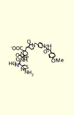 COc1ccc(NC(=O)C[n+]2ccc(CN3CC/C(=C\C4=C(C(=O)[O-])N5C(=O)[C@@H](NC(=O)/C(=N\O)c6csc(N)n6)[C@H]5SC4)C3=O)cc2)cc1